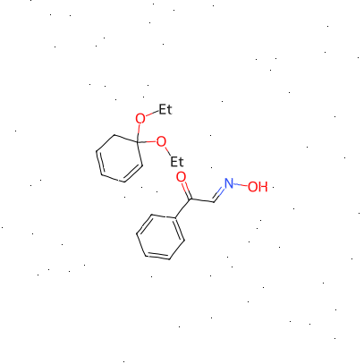 CCOC1(OCC)C=CC=CC1.O=C(C=NO)c1ccccc1